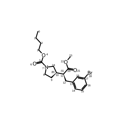 CCCCOC(=O)N1CC[C@H]([C@H](Cc2cccc(Br)c2)C(=O)OC)C1